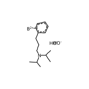 [B+2]c1ccccc1CCCN(C(C)C)C(C)C.[OH-].[OH-]